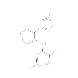 Cc1nc(-c2ccccc2Nc2nc(Cl)ncc2Cl)no1